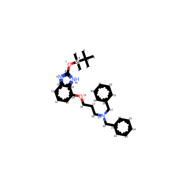 CC(C)(C)[Si](C)(C)Oc1nc2cccc(OCCCN(Cc3ccccc3)Cc3ccccc3)c2[nH]1